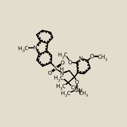 COc1ccc(C(CNS(=O)(=O)c2ccc3c(c2)c2ccccc2n3C)(O[SiH](C)C)C(C)(C)C)c(OC)n1